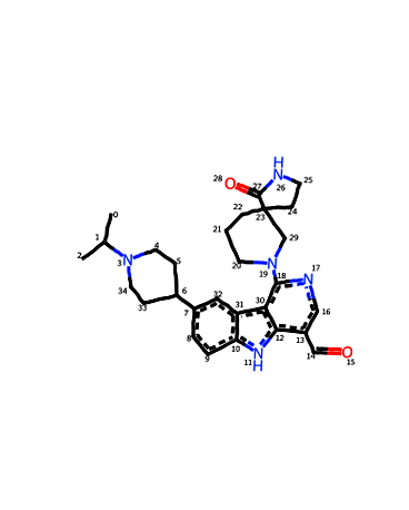 CC(C)N1CCC(c2ccc3[nH]c4c(C=O)cnc(N5CCCC6(CCNC6=O)C5)c4c3c2)CC1